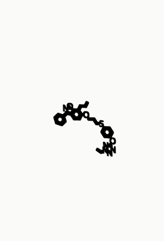 CCCc1c(OCCCSc2ccc(Oc3nnn(CC)n3)cc2)ccc2c(-c3ccccc3)noc12